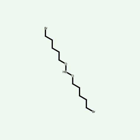 BrCCCCCOBOCCCCCBr